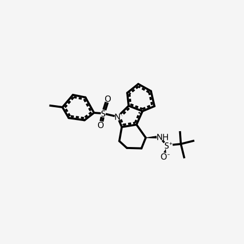 Cc1ccc(S(=O)(=O)n2c3c(c4ccccc42)[C@@H](N[S@+]([O-])C(C)(C)C)CCC3)cc1